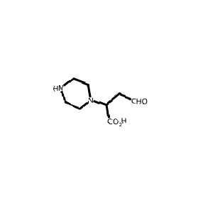 O=CCC(C(=O)O)N1CCNCC1